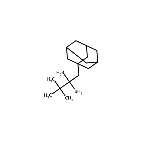 BC(B)(CC12CC3CC(CC(C3)C1)C2)C(C)(C)C